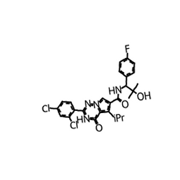 CC(C)c1c(C(=O)NC(c2ccc(F)cc2)C(C)(C)O)cn2nc(-c3ccc(Cl)cc3Cl)[nH]c(=O)c12